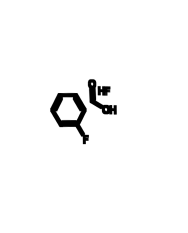 F.Fc1ccccc1.O=CO